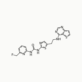 O=C(Nc1cccc(CF)n1)Nc1ncc(CCNc2ncnc3ccsc23)s1